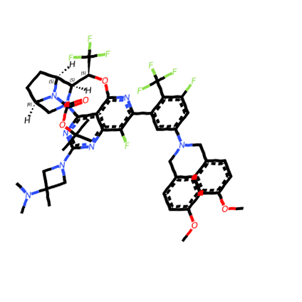 COc1ccc(CN(Cc2ccc(OC)cc2)c2cc(F)c(C(F)(F)F)c(-c3nc4c5c(nc(N6CC(C)(N(C)C)C6)nc5c3F)N3C[C@H]5CC[C@@H]([C@H]3[C@@H](C(F)(F)F)O4)N5C(=O)OC(C)(C)C)c2)cc1